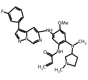 C=CC(=O)Nc1cc(Nc2cc3c(-c4cccc(F)c4)cnn3cn2)c(OC)cc1N(C)C1CCN(C)C1